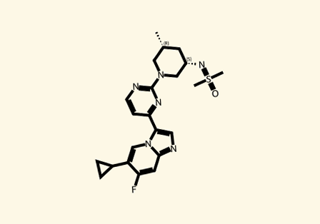 C[C@@H]1C[C@H](N=S(C)(C)=O)CN(c2nccc(-c3cnc4cc(F)c(C5CC5)cn34)n2)C1